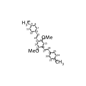 COc1cc(C=Cc2ccc(C)cc2)c(OC)cc1C=Cc1ccc(C)cc1